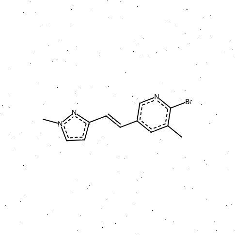 Cc1cc(/C=C/c2ccn(C)n2)cnc1Br